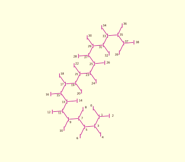 II(I)I(I)I(I)I(I)I(I)I(I)I(I)I(I)I(I)I(I)I(I)I(I)I(I)I(I)I(I)I(I)I(I)I(I)I(I)I